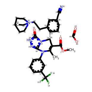 COC(=O)C1=C(C)N(c2cccc(C(F)(F)F)c2)c2n[nH]c(=O)n2[C@@H]1c1ccc(C#N)cc1CC[N+]12CCC(CC1)CC2.O=C[O-]